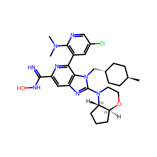 CN(C)c1ncc(Cl)cc1-c1nc(C(=N)NO)cc2nc(N3CCO[C@H]4CCC[C@@H]43)n(C[C@H]3CC[C@H](C)CC3)c12